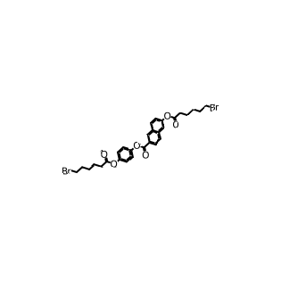 O=C(CCCCCBr)Oc1ccc(OC(=O)c2ccc3cc(OC(=O)CCCCCBr)ccc3c2)cc1